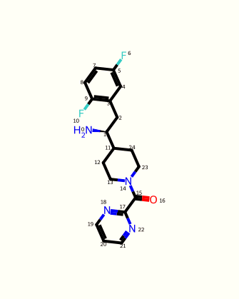 N[C@@H](Cc1cc(F)ccc1F)C1CCN(C(=O)c2ncccn2)CC1